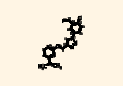 CC(C)c1ccnc(OCc2cn(-c3ccc(Cl)c(CF)c3)nn2)n1